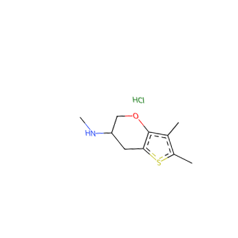 CNC1COc2c(sc(C)c2C)C1.Cl